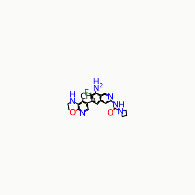 Cc1c(-c2cc3cc(NC(=O)N4CCC4)ncc3c(N)c2F)cnc2c1NCCO2